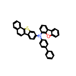 c1ccc(-c2ccc(N(c3ccc4c(c3)sc3c5ccccc5ccc43)c3cccc4c3oc3ccccc34)cc2)cc1